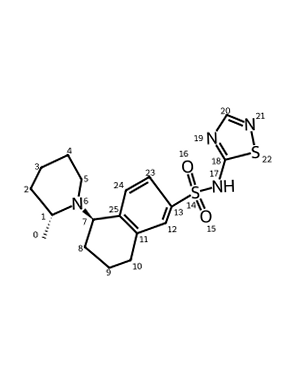 C[C@@H]1CCCCN1[C@@H]1CCCc2cc(S(=O)(=O)Nc3ncns3)ccc21